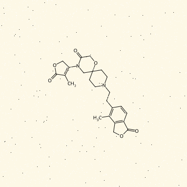 CC1=C(N2CC3(CCN(CCc4ccc5c(c4C)COC5=O)CC3)OCC2=O)COC1=O